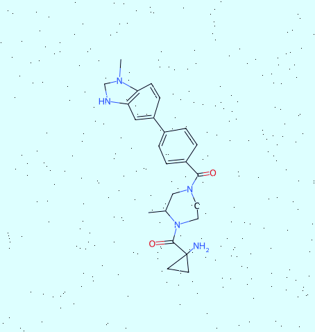 CC1CN(C(=O)c2ccc(-c3ccc4c(c3)NCN4C)cc2)CCN1C(=O)C1(N)CC1